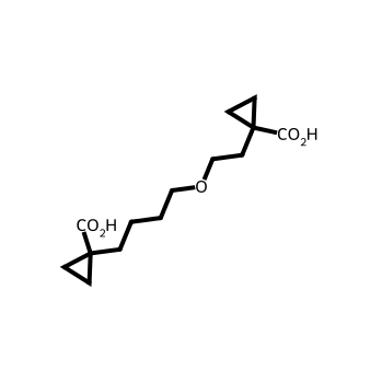 O=C(O)C1(CCCCOCCC2(C(=O)O)CC2)CC1